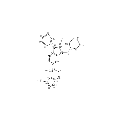 Cc1c(-c2cnc3c(c2)n(C[C@H]2COCCO2)c(=O)n3-c2ccccc2)cnc2[nH]cc(F)c12